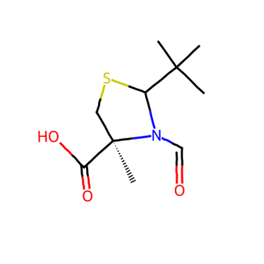 CC(C)(C)C1SC[C@](C)(C(=O)O)N1C=O